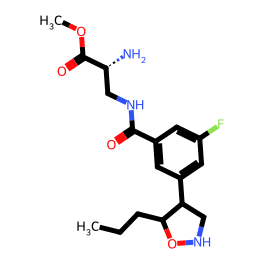 CCCC1ONCC1c1cc(F)cc(C(=O)NC[C@@H](N)C(=O)OC)c1